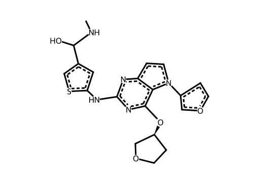 CNC(O)c1csc(Nc2nc(O[C@H]3CCOC3)c3c(ccn3-c3ccoc3)n2)c1